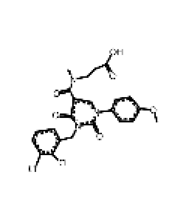 COc1ccc(-n2cc(C(=O)N(C)CCC(=O)O)c(=O)n(Cc3cccc(Cl)c3Cl)c2=O)cc1